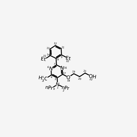 CCCN(CCC)c1c(C)nc(-c2c(CC)cccc2CC)nc1OCCCO